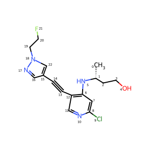 C[C@H](CCO)Nc1cc(Cl)ncc1C#Cc1cnn(CCF)c1